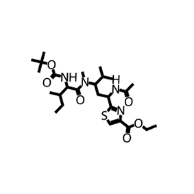 CCOC(=O)c1csc(C(CC(C(C)C)N(C)C(=O)C(NC(=O)OC(C)(C)C)C(C)CC)NC(C)=O)n1